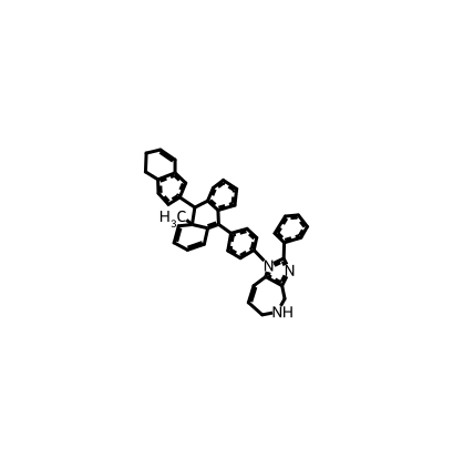 CC12C=CC=CC1=C(c1ccc(-n3c(-c4ccccc4)nc4c3C=CCNC4)cc1)c1ccccc1C2c1ccc2c(c1)C=CCC2